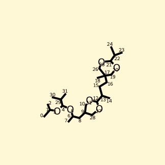 CC(C)OC(OC(C)CC1COC(C(C)CCC2(C)COC(C(C)C)OC2)OC1)C(C)C